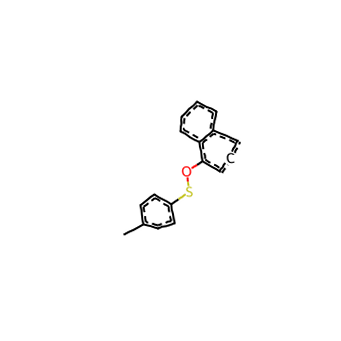 Cc1ccc(SOc2cccc3ccccc23)cc1